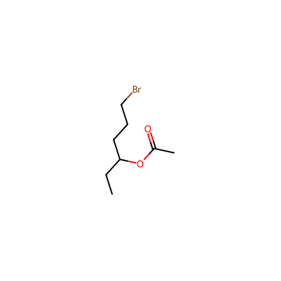 CCC(CCCBr)OC(C)=O